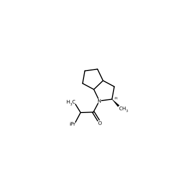 CC(C)C(C)C(=O)N1C2CCCC2C[C@H]1C